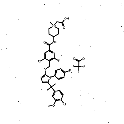 COc1cc(C(C)(C)c2cnc(SCc3c(F)cc(C(=O)NC4CC[N+](C)(CC(=O)O)CC4)cc3Cl)n2-c2ccc(F)cc2)ccc1Cl.O=C([O-])C(F)(F)F